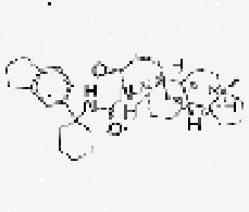 C[C@@]12CCC[C@H]1[C@@H]1CC[C@H]3N(C(=O)NC4(c5ccc6c(c5)CCC6)CCCCC4)C(=O)C=C[C@]3(C)[C@H]1CC2